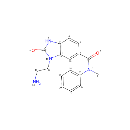 CN(C(=O)c1ccc2[nH]c(=O)n(CCN)c2c1)c1ccccc1